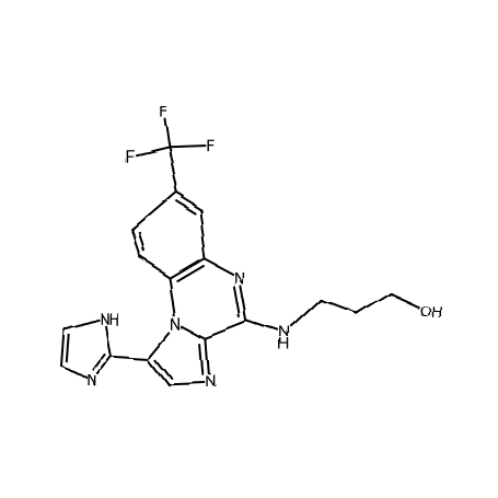 OCCCNc1nc2cc(C(F)(F)F)ccc2n2c(-c3ncc[nH]3)cnc12